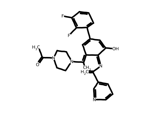 C=C(/N=C1/C(O)=CC(c2cccc(F)c2F)=C/C1=C(/C)N1CCN(C(C)=O)CC1)c1cccnc1